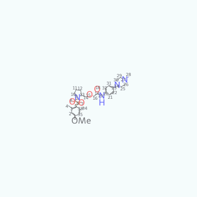 COc1cc(C)c(S(=O)(=O)N2CCCC2COCC(=O)Nc2ccc(N3CCN(C)CC3)cc2)c(C)c1